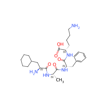 C[C@H](NC(=O)[C@@H](N)CC1CCCCC1)C(=O)N[C@@H](Cc1ccccc1)C(=O)N[C@@H](CCCCN)C(=O)O